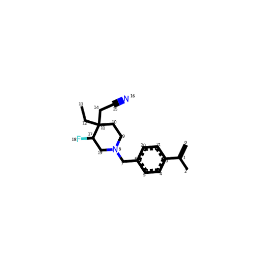 C=C(C)c1ccc(CN2CCC(CC)(CC#N)C(F)C2)cc1